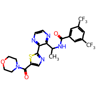 CC(NC(=O)c1cc(C(F)(F)F)cc(C(F)(F)F)c1)c1nccnc1-c1ncc(C(=O)N2CCOCC2)s1